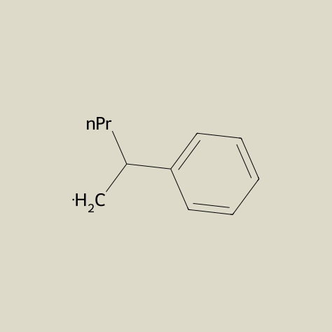 [CH2]C(C[CH]C)c1ccccc1